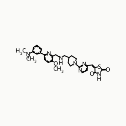 COc1ccc(-c2cccc(N(C)C)c2)nc1CNCC1CCN(c2nccc(C=C3SC(=O)NC3=O)n2)CC1